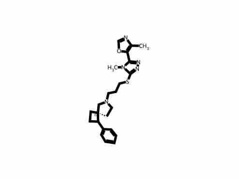 Cc1ncoc1-c1nnc(SCCCN2CC[C@]3(CCC3c3ccccc3)C2)n1C